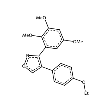 CCOc1ccc(-c2conc2-c2cc(OC)cc(OC)c2OC)cc1